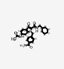 NC(=O)c1ccc(Cn2c(C(=O)NCC3CCCCC3)c(Cl)c3ccc(NC(=O)O)cc32)cc1